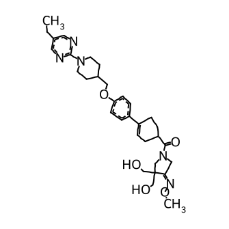 CCc1cnc(N2CCC(COc3ccc(C4=CCC(C(=O)N5CC(=NOC)C(CO)(CO)C5)CC4)cc3)CC2)nc1